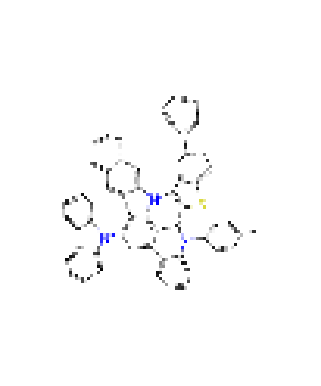 Cc1ccc(N2B3c4sc5ccc(-c6ccccc6)cc5c4-n4c5cc6ccccc6cc5c5c(-n6c7ccccc7c7ccccc76)cc(c3c54)-c3ccccc32)cc1